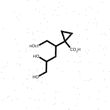 CCCCCCCCCC(CC(O)CO)C1(C(=O)O)CC1